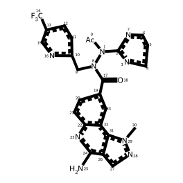 CC(=O)N(c1ncccn1)N(Cc1ccc(C(F)(F)F)cn1)C(=O)c1ccc2nc(N)c3cnn(C)c3c2c1